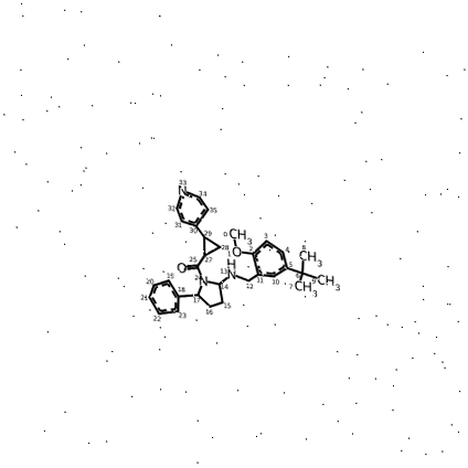 COc1ccc(C(C)(C)C)cc1CNC1CCC(c2ccccc2)N1C(=O)C1CC1c1ccncc1